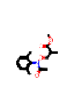 COC(=O)C(C)CON(C(C)=O)c1c(C)cccc1C